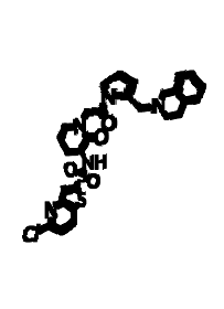 O=C1[C@@H](NS(=O)(=O)c2cc3nc(Cl)ccc3s2)CCCN1CC(=O)N1CCC[C@H]1CN1CCc2ccccc2C1